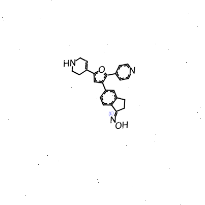 O/N=C1\CCc2cc(-c3cc(C4=CCNCC4)oc3-c3ccncc3)ccc21